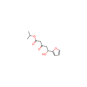 CC(C)OC(=O)CC(=O)CC(O)c1ccco1